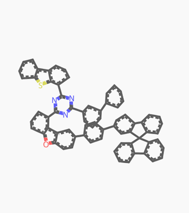 c1ccc(-c2cccc(-c3nc(-c4cccc5c4sc4ccccc45)nc(-c4cccc5oc6ccc(-c7ccc(-c8ccc9c(c8)C8(c%10ccccc%10-c%10ccccc%108)c8ccccc8-9)cc7)cc6c45)n3)c2)cc1